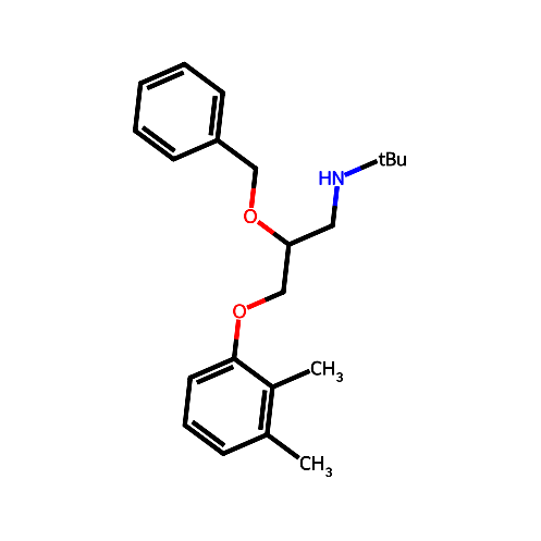 Cc1cccc(OCC(CNC(C)(C)C)OCc2ccccc2)c1C